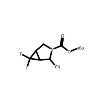 CC(C)(C)OC(=O)N1CC2C(C1C#N)C2(F)F